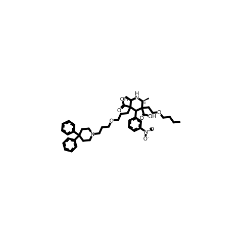 CCCCOCCC1(C(=O)O)C(c2cccc([N+](=O)[O-])c2)C(CCCOCCCN2CCC(c3ccccc3)(c3ccccc3)CC2)(C(=O)O)C(C)N[C@H]1C